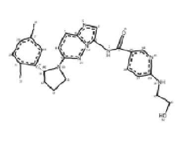 O=C(Nc1cnc2ccc(N3CCC[C@@H]3c3cc(F)ccc3F)nn12)c1ccc(NCCO)nc1